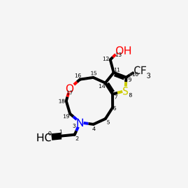 C#CCN1CCCc2sc(C(F)(F)F)c(CO)c2CCOCC1